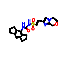 O=C(Nc1c2c(cc3c1CCC3)CCC2)NS(=O)(=O)/C=C/c1cn2c(n1)COCC2